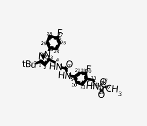 CC(C)(C)c1cc(CNC(=O)Nc2ccc(CNS(C)(=O)=O)c(F)c2)n(-c2ccc(F)cc2)n1